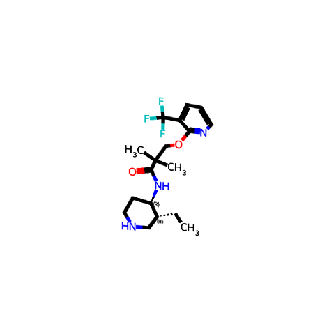 CC[C@@H]1CNCC[C@H]1NC(=O)C(C)(C)COc1ncccc1C(F)(F)F